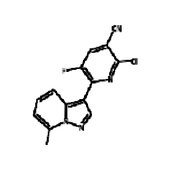 Cc1cccc2c(-c3nc(Cl)c(C#N)cc3F)cnn12